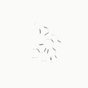 COc1ccc(C2(O)OC(=O)C(c3ccc4nsnc4c3)=C2Cc2cc(OC)c(OC(C)C)c(OC(C)C)c2)cc1F